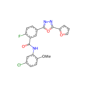 COc1ccc(Cl)cc1NC(=O)c1cc(-c2nnc(-c3ccco3)o2)ccc1F